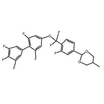 CC1COC(c2ccc(C(F)(F)Oc3cc(F)c(-c4cc(F)c(F)c(F)c4)c(F)c3)c(F)c2)OC1